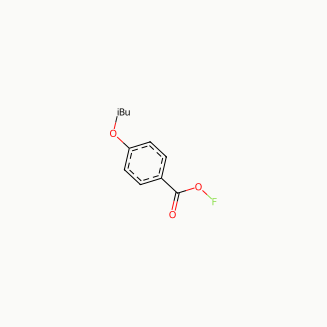 CCC(C)Oc1ccc(C(=O)OF)cc1